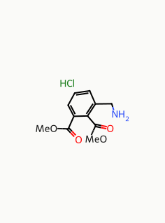 COC(=O)c1cccc(CN)c1C(=O)OC.Cl